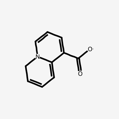 [O]C(=O)C1=CC=CN2CC=CC=C12